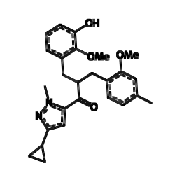 COc1cc(C)ccc1CC(Cc1cccc(O)c1OC)C(=O)c1cc(C2CC2)nn1C